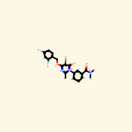 Cc1nc(OCc2ccc(F)cc2F)c(Br)c(=O)n1-c1cccc(C(=O)N(C)C)c1